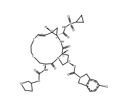 O=C(N[C@H]1CCCCC/C=C/[C@@H]2C[C@@]2(C(=O)NS(=O)(=O)C2CC2)NC(=O)[C@@H]2C[C@@H](OC(=O)N3Cc4ccc(Cl)cc4C3)CN2C1=O)OC1CCOC1